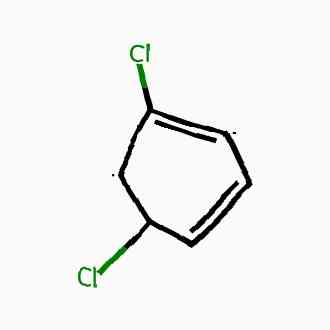 ClC1=[C]C=CC(Cl)[CH]1